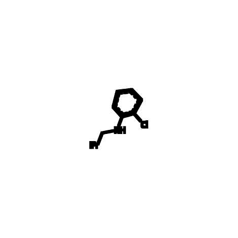 CC(C)CNc1ccccc1Cl